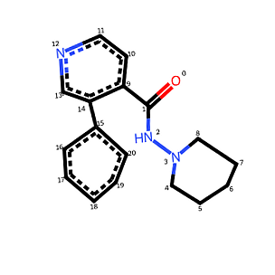 O=C(NN1CCCCC1)c1ccn[c]c1-c1ccccc1